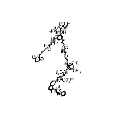 Cc1c(-c2ccc(N3CCc4cccc(C(=O)Nc5nc6ccccc6s5)c4C3)nc2C(=O)O)cnn1CC12CC3(C)CC(C)(C1)CC(OCCOCCNC(=O)OC/C=C/c1ccc(O[C@@H]4[C@@H](O)[C@H](O)[C@@H](C(=O)O)O[C@H]4O)c(NC(=O)CCNC(=O)CCCCCN4C(=O)C=CC4=O)c1)(C3)C2